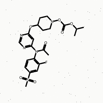 CC(=O)N(c1cc(OC2CCN(OC(=O)OC(C)C)CC2)ncn1)c1ccc(S(C)(=O)=O)cc1F